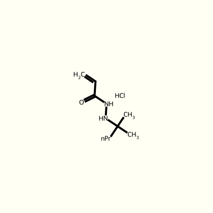 C=CC(=O)NNC(C)(C)CCC.Cl